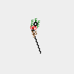 CCCCCCCCCCCCSC(=S)SC(C)(C)C(=O)Oc1c(F)c(F)c(F)c(F)c1F